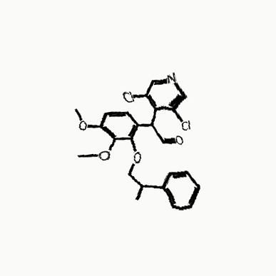 COc1ccc(C(C=O)c2c(Cl)cncc2Cl)c(OCC(C)c2ccccc2)c1OC